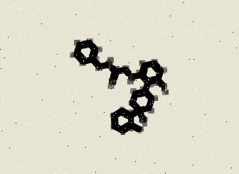 [CH2]c1ccccc1C1([O])CC=C(c2c(F)cccc2OCC(=O)OCc2ccccc2)CC1